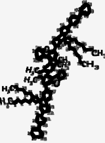 CCCCCCCCC1(CCCCCCCC)c2cc(-c3ccc(-c4ccccc4)cc3)ccc2-c2ccc(-c3cc(CC)c(-c4cc5c(cc4CC)-c4c(cc(-c6ccc7c(c6)C(CCCCCCCC)(CCCCCCCC)c6cc(-c8ccc(-c9ccccc9)cc8)ccc6-7)c6oc7ccccc7c46)C5(C)C)c4c3oc3ccccc34)cc21